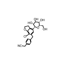 N#CCc1ccc(Cc2cc([C@@H]3O[C@H](CO)[C@@H](O)[C@H](O)[C@H]3O)c3c(c2Cl)OCC3)cc1